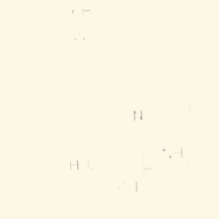 COc1cccc(N(C(N)=O)C(c2ccccc2)C(C)(C)C)c1